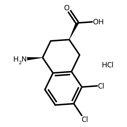 Cl.N[C@H]1C[C@@H](C(=O)O)Cc2c1ccc(Cl)c2Cl